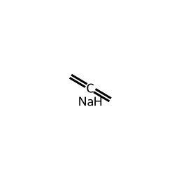 C=C=C.[NaH]